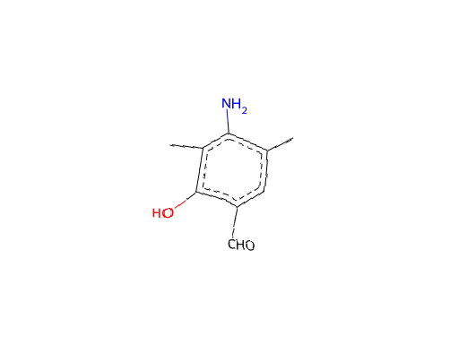 Cc1cc(C=O)c(O)c(C)c1N